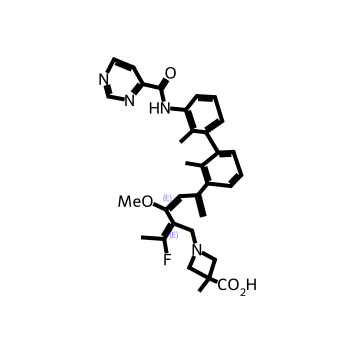 C=C(/C=C(OC)\C(CN1CC(C)(C(=O)O)C1)=C(/C)F)c1cccc(-c2cccc(NC(=O)c3ccncn3)c2C)c1C